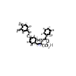 O=C(O)/C(=C/c1ccc(OCc2ccc(F)c(F)c2)cc1)NC(=O)c1ccccc1